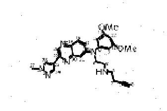 C#CCCNCCN(c1cc(OC)cc(OC)c1)c1ccc2ncc(-c3cnn(C)c3)nc2c1